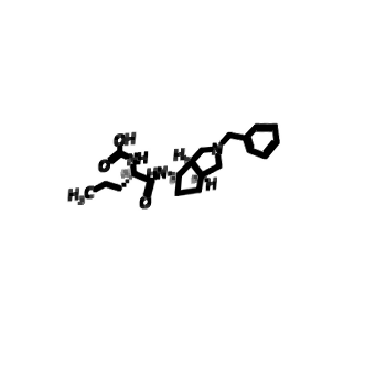 CCC[C@H](NC(=O)O)C(=O)N[C@H]1CC[C@@H]2CN(Cc3ccccc3)C[C@@H]21